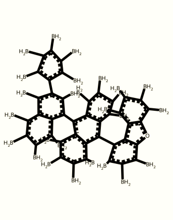 Bc1c(B)c(B)c(-c2c(B)c(-c3c4c(B)c(B)c(B)c(B)c4c(-c4c(B)c(B)c(B)c5oc6c(B)c(B)c(B)c(B)c6c45)c4c(B)c(B)c(B)c(B)c34)c3c(B)c(B)c(B)c(B)c3c2B)c(B)c1B